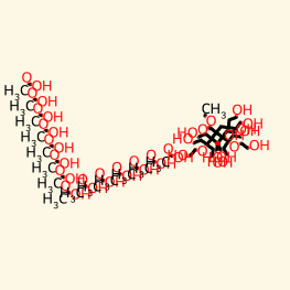 CC(=O)O.CC(=O)O.CC(=O)O.CC(=O)O.CC(=O)O.CC(=O)O.CC(=O)O.CC(=O)O.CC(=O)O.CC(=O)O.CC(=O)O.CC(=O)O.CC(=O)O.CC(=O)O.CCOC(=O)C(CC(O)(CCO)CCO)(C(CCO)(CCO)C(CCO)(CCO)OCCO)C(CCO)(CCO)C(CCO)(CCO)OCCO